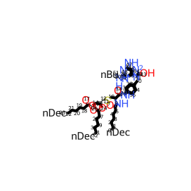 CCCCCCCCCCCCCCCC(=O)NC(CSC[C@@H](COC(=O)CCCCCCCCCCCCCCC)OC(=O)CCCCCCCCCCCCCCC)C(=O)Nc1ccc(Cn2c(O)nc3c(N)nc(NCCCC)nc32)cc1